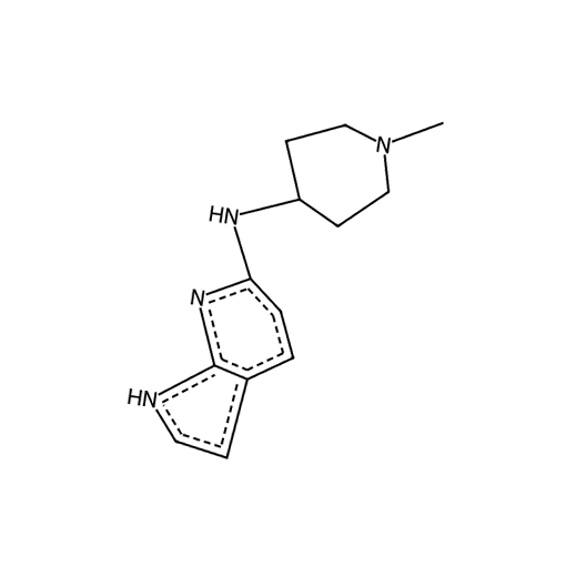 CN1CCC(Nc2ccc3cc[nH]c3n2)CC1